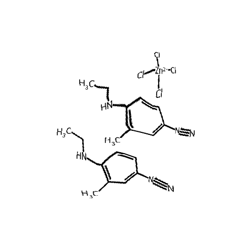 CCNc1ccc([N+]#N)cc1C.CCNc1ccc([N+]#N)cc1C.[Cl][Zn-2]([Cl])([Cl])[Cl]